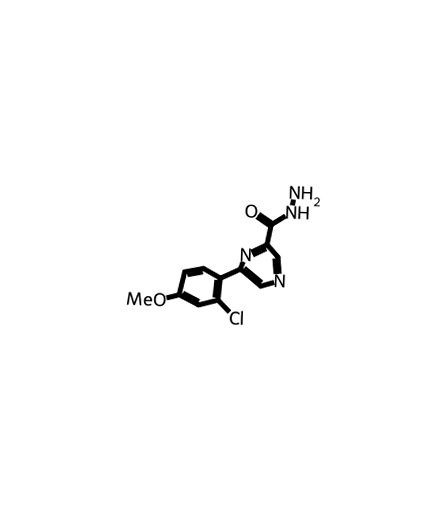 COc1ccc(-c2cncc(C(=O)NN)n2)c(Cl)c1